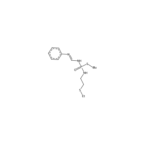 CCSCCNP(=O)(NC=Nc1ccccc1)SC(C)CC